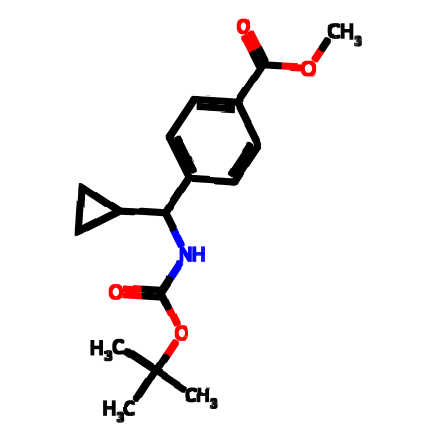 COC(=O)c1ccc(C(NC(=O)OC(C)(C)C)C2CC2)cc1